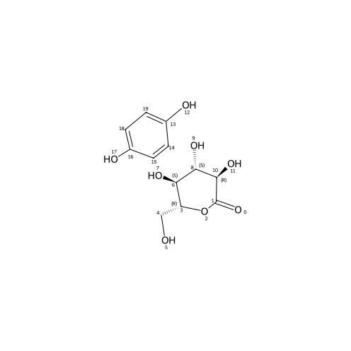 O=C1O[C@H](CO)[C@@H](O)[C@H](O)[C@H]1O.Oc1ccc(O)cc1